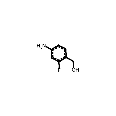 Nc1ccc(CO)c(F)c1